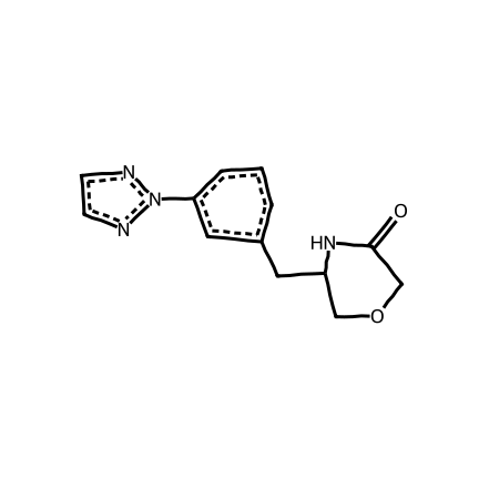 O=C1COCC(Cc2cccc(-n3nccn3)c2)N1